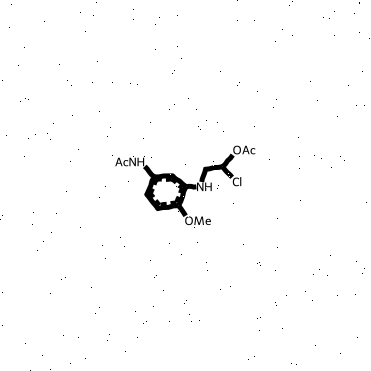 COc1ccc(NC(C)=O)cc1NCC(Cl)OC(C)=O